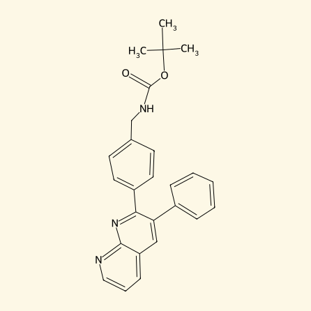 CC(C)(C)OC(=O)NCc1ccc(-c2nc3ncccc3cc2-c2ccccc2)cc1